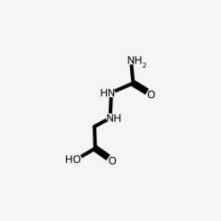 NC(=O)NNCC(=O)O